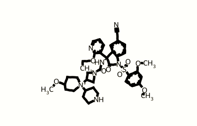 CCOc1ncccc1[C@]1(NC(=O)N2CC([N+]3(C4CCNCC4)CCC(OC)CC3)C2)C(=O)N(S(=O)(=O)c2ccc(OC)cc2OC)c2ccc(C#N)cc21